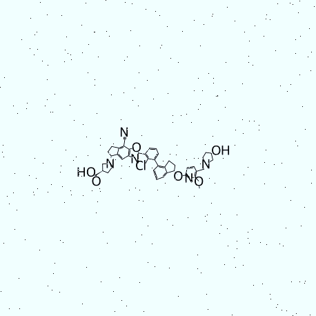 COc1nc(O[C@H]2CCc3c(-c4cccc(-c5nc6cc7c(c(C#N)c6o5)CC[C@H]7N5CC[C@@H](C(=O)O)C5)c4Cl)cccc32)ccc1CN1CC[C@@H](O)C1